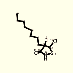 CCCCCCCCC1(Cl)C(=O)NSC1Cl